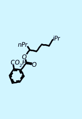 CCCC(CCCC(C)C)OC(=O)c1ccccc1C(=O)O